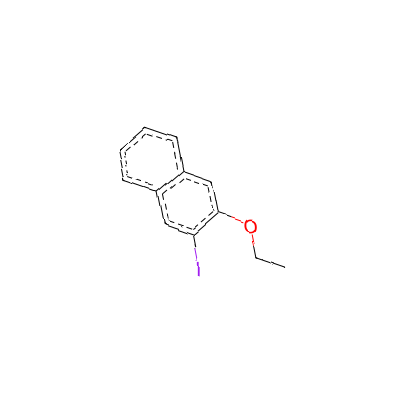 CCOc1cc2ccccc2cc1I